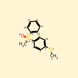 CSc1ccc([SH](C)(=O)c2ccccc2)cc1